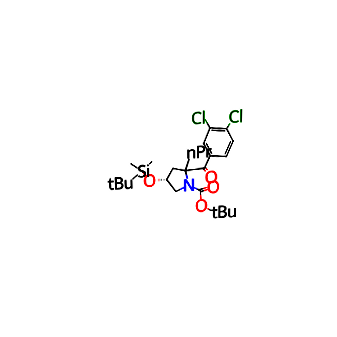 CCCC1(C(=O)c2ccc(Cl)c(Cl)c2)C[C@@H](O[Si](C)(C)C(C)(C)C)CN1C(=O)OC(C)(C)C